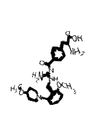 COc1cccc(N2CCC(OC)CC2)c1CN/C(N)=N/C(=O)c1ccc(C[C@H](N)C(=O)O)cc1